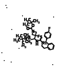 CC(C)(C)OC(=O)N1CC(F)(C(CO[Si](C)(C)C(C)(C)C)NC(=S)N2CCc3ccccc3[C@@H]2c2ccc(F)cc2)C1